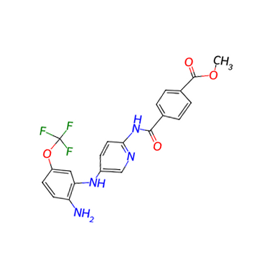 COC(=O)c1ccc(C(=O)Nc2ccc(Nc3cc(OC(F)(F)F)ccc3N)cn2)cc1